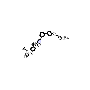 CCCCOCCOc1ccc(-c2cccc(/C=C/C(=O)Nc3ccc(Sc4cncn4CC4CC4)cc3)c2)cc1